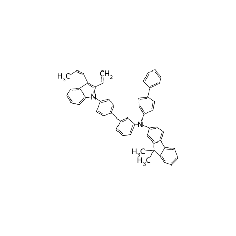 C=Cc1c(/C=C\C)c2ccccc2n1-c1ccc(-c2cccc(N(c3ccc(-c4ccccc4)cc3)c3ccc4c(c3)C(C)(C)c3ccccc3-4)c2)cc1